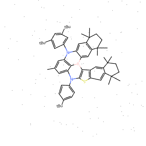 Cc1cc2c3c(c1)N(c1ccc(C(C)(C)C)cc1)c1sc4cc5c(cc4c1B3c1cc3c(cc1N2c1cc(C(C)(C)C)cc(C(C)(C)C)c1)C(C)(C)CCC3(C)C)C(C)(C)CCC5(C)C